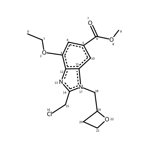 CCOc1cc(C(=O)OC)cc2c1nc(CCl)n2CC1CCO1